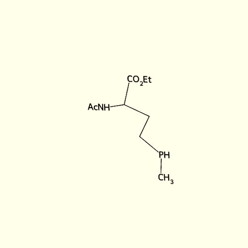 CCOC(=O)C(CCPC)NC(C)=O